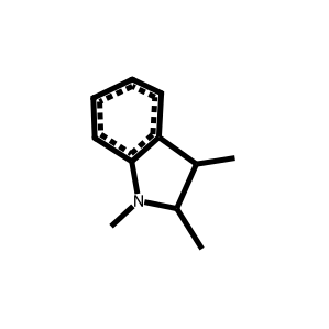 CC1c2ccccc2N(C)C1C